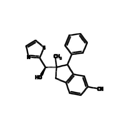 CC1([C@@H](O)c2nccs2)Cc2ccc(C#N)cc2C1c1ccccc1